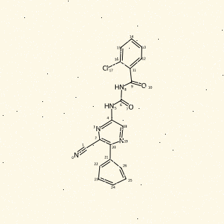 N#Cc1nc(NC(=O)NC(=O)c2ccccc2Cl)cnc1-c1ccccc1